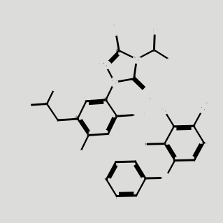 CCOC(=O)C(Cl)Cc1cc(-n2nc(C)n(C(F)F)c2=O)c(F)cc1Cl.Nc1c([N+](=O)[O-])ccc(Oc2ccccc2)c1Cl